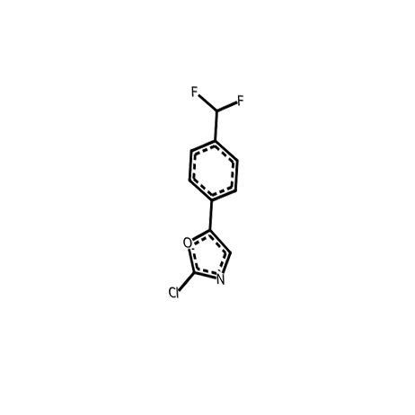 FC(F)c1ccc(-c2cnc(Cl)o2)cc1